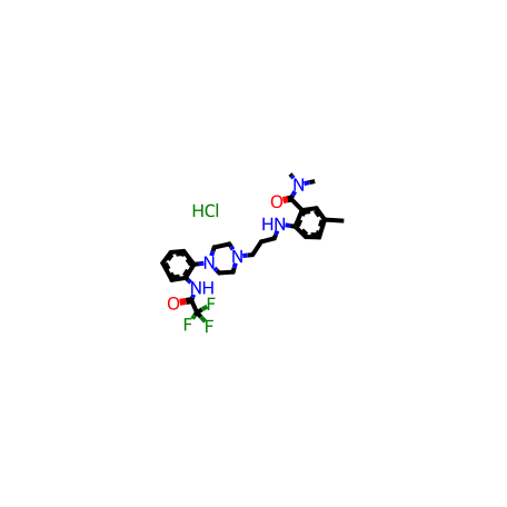 Cc1ccc(NCCCN2CCN(c3ccccc3NC(=O)C(F)(F)F)CC2)c(C(=O)N(C)C)c1.Cl